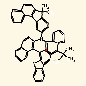 CC(C)(C)c1ccc(N(c2ccc3c(c2)-c2c(ccc4ccccc24)C3(C)C)c2ccc3ccccc3c2-c2cccc3c2sc2ccccc23)c2ccccc12